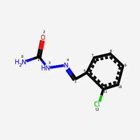 NC(=O)NN=Cc1ccccc1Cl